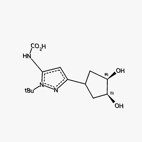 CC(C)(C)n1nc(C2C[C@@H](O)[C@@H](O)C2)cc1NC(=O)O